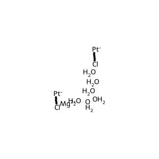 O.O.O.O.O.O.[Cl][Pt-].[Cl][Pt-].[Mg+2]